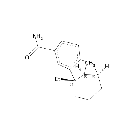 CC[C@@]12CCC[C@H](Cc3ccc(C(N)=O)cc31)[C@@H]2C